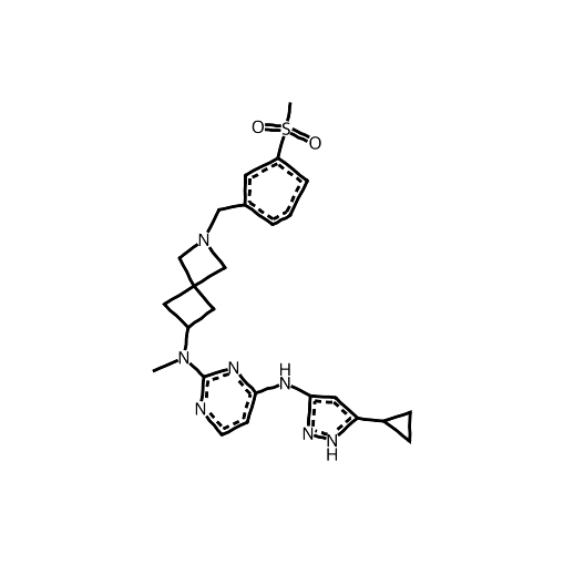 CN(c1nccc(Nc2cc(C3CC3)[nH]n2)n1)C1CC2(C1)CN(Cc1cccc(S(C)(=O)=O)c1)C2